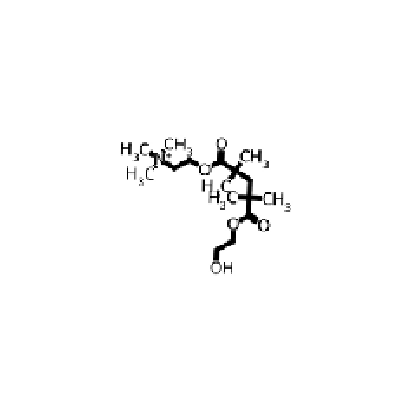 CC(C)(CC(C)(C)C(=O)OCC[N+](C)(C)C)C(=O)OCCO